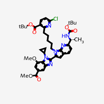 COC(=O)c1cc(OC)c2c(c1)nc(-c1cc3ccc([C@@H](C)NC(=O)OC(C)(C)C)nc3n1CCCCCc1nc(Cl)ccc1C(=O)OC(C)(C)C)n2C1CC1